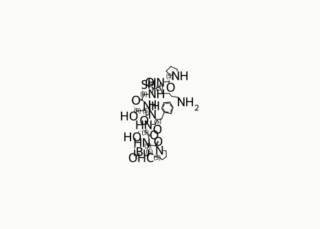 CC[C@H](C)[C@H](NC(=O)[C@H](CO)NC(=O)[C@H](Cc1ccccc1)NC(=O)[C@@H](NC(=O)[C@H](CS)NC(=O)[C@H](CCCCN)NC(=O)[C@@H]1CCCN1)[C@@H](C)O)C(=O)N1CCC[C@H]1[C]=O